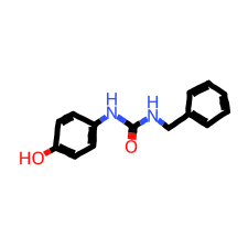 O=C(NCc1ccccc1)Nc1ccc(O)cc1